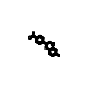 CC(=O)c1ccc(C2=Nc3ccc(C)cc3OC2)cc1